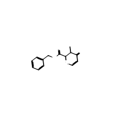 CC1C(=O)C=CNC1C(=O)OCc1ccccc1